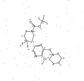 COc1ncc([C@H]2CN(C(=O)OC(C)(C)C)CCC2(F)F)cc1CN1CCOCC1